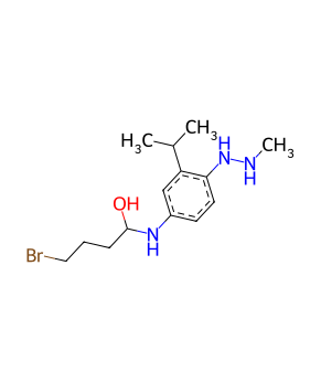 CNNc1ccc(NC(O)CCCBr)cc1C(C)C